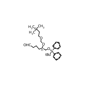 CC(C)(C)[Si](OC[C@@H](CCCC=O)OCOCC[Si](C)(C)C)(c1ccccc1)c1ccccc1